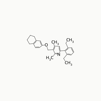 CCc1cccc(CC)c1-c1cc(C)c(COc2ccc3c(c2)CCCC3)c(C)n1